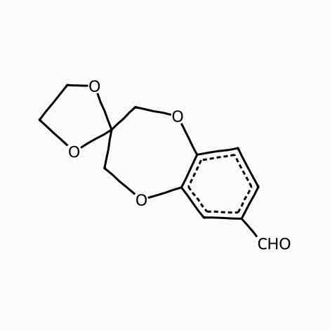 O=Cc1ccc2c(c1)OCC1(CO2)OCCO1